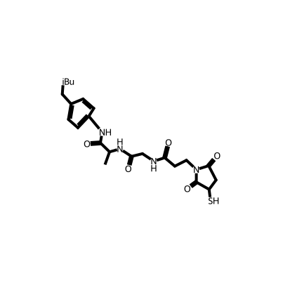 CCC(C)Cc1ccc(NC(=O)C(C)NC(=O)CNC(=O)CCN2C(=O)CC(S)C2=O)cc1